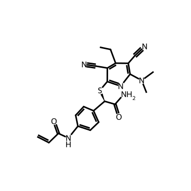 C=CC(=O)Nc1ccc([C@@H](Sc2nc(N(C)C)c(C#N)c(CC)c2C#N)C(N)=O)cc1